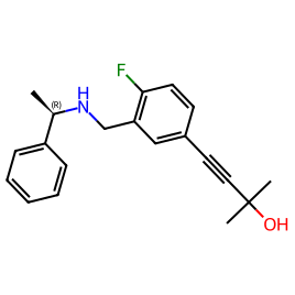 C[C@@H](NCc1cc(C#CC(C)(C)O)ccc1F)c1ccccc1